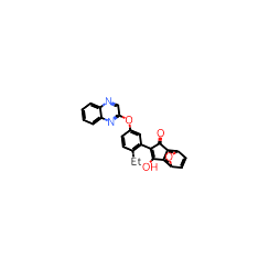 CCc1ccc(Oc2cnc3ccccc3n2)cc1C1=C(O)c2c(c3ccc2o3)C1=O